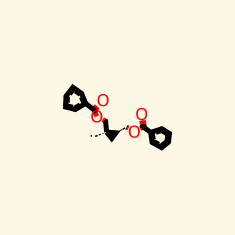 [CH2][C@@]1(COC(=O)c2ccccc2)C[C@H]1COC(=O)c1ccccc1